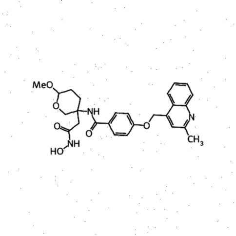 COC1CCC(CC(=O)NO)(NC(=O)c2ccc(OCc3cc(C)nc4ccccc34)cc2)CO1